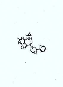 Cc1nc(NC2(C)CC2)c2c(C(=O)N3CCOC(c4ccccn4)C3)coc2n1